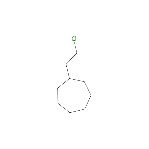 ClCCC1CCCCCC1